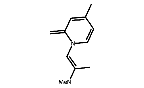 C=C1C=C(C)C=CN1/C=C(\C)NC